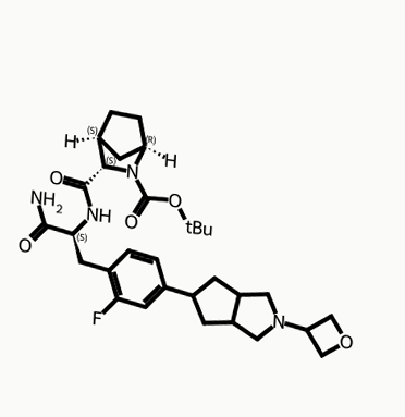 CC(C)(C)OC(=O)N1[C@@H]2CC[C@@H](C2)[C@H]1C(=O)N[C@@H](Cc1ccc(C2CC3CN(C4COC4)CC3C2)cc1F)C(N)=O